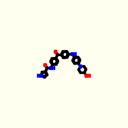 O=C(Nc1ccc(C(=O)c2ccc(Nc3ccc(N4CCC(O)CC4)cc3)cc2)cc1)c1cc[nH]c1